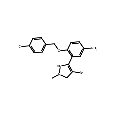 CN1CC(Br)=C(c2cc(N)ccc2OCc2ccc(Cl)cc2)N1